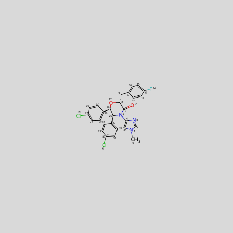 Cn1cnc(N2C(=O)[C@@H](Cc3ccc(F)cc3)O[C@H](c3ccc(Cl)cc3)[C@@H]2c2ccc(Cl)cc2)c1